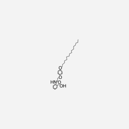 CCCCCCCCCCCCCCCCOc1ccc(OCC(=O)Nc2ccccc2CO)cc1